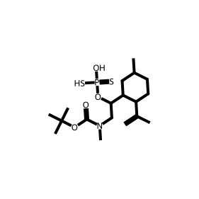 C=C(C)C1CCC(C)CC1C(CN(C)C(=O)OC(C)(C)C)OP(O)(=S)S